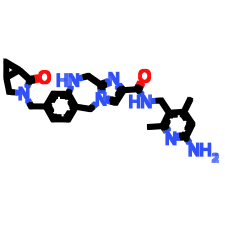 Cc1cc(N)nc(C)c1CNC(=O)c1cn2c(n1)CNc1cc(CN3CC4CC4C3=O)ccc1C2